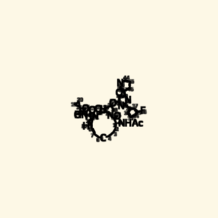 CC(=O)N[C@H]1CCCCC/C=C\[C@@H]2C[C@@]2(C(=O)NS(=O)(=O)C2CC2)NC(=O)[C@@H]2C[C@@H](Oc3nc(-c4cccc(F)c4)nc4c3oc3ncccc34)CN2C1=O